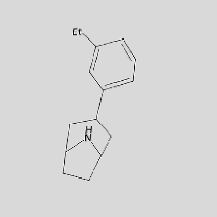 CCc1cccc(C2CC3CCC(C2)N3)c1